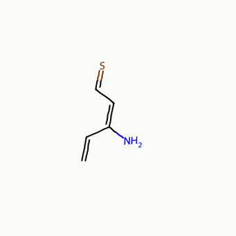 C=C/C(N)=C\C=S